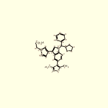 Cc1noc(C)c1-c1cnc2c(c1)c(-c1cnn(CC(=O)O)c1)cn2C(c1ccccn1)C1CCCC1